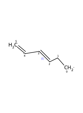 [CH2]C/C=C/[C]=C